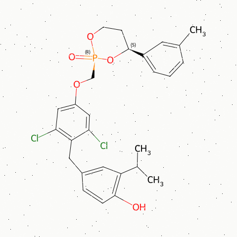 Cc1cccc([C@@H]2CCO[P@](=O)(COc3cc(Cl)c(Cc4ccc(O)c(C(C)C)c4)c(Cl)c3)O2)c1